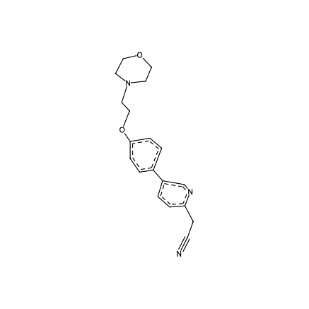 N#CCc1ccc(-c2ccc(OCCN3CCOCC3)cc2)cn1